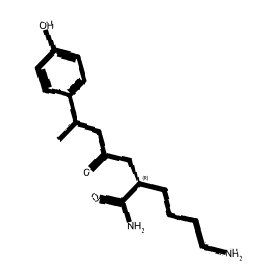 CC(CC(=O)C[C@@H](CCCCN)C(N)=O)c1ccc(O)cc1